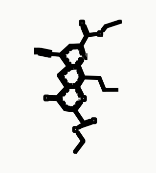 CCCc1c2nc(C(=O)OCC)cc(C#N)c2cc2c(=O)cc(C(=O)OCC)oc12